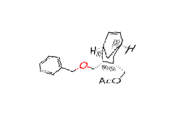 CC(=O)OC[C@@H]1[C@H](COCc2ccccc2)[C@H]2C=C[C@@H]1C2